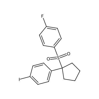 O=S(=O)(c1ccc(F)cc1)C1(c2ccc(I)cc2)CCCC1